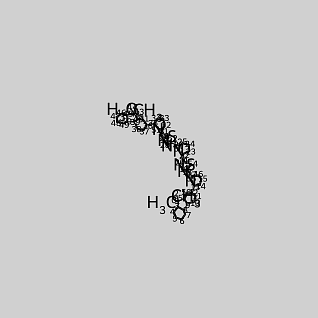 CC1(C)c2ccccc2-c2ccc(-c3cccc(-c4nnc(-c5cccc(-c6nnc(-c7cccc(-c8ccc9c(c8)C(C)(C)c8ccccc8-9)n7)s6)n5)s4)n3)cc21